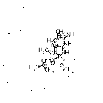 COCP(=O)(NC(=N)NC(=N)N(C)C)N[C@@H](C)C(=O)OC(C)C